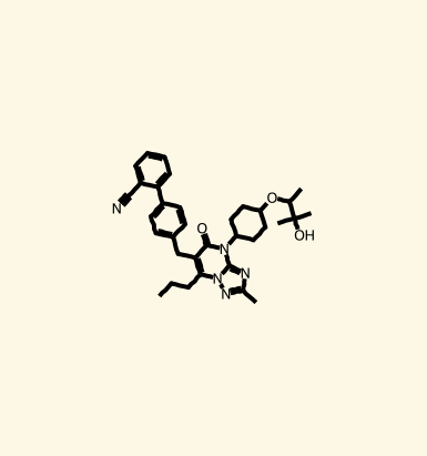 CCCc1c(Cc2ccc(-c3ccccc3C#N)cc2)c(=O)n(C2CCC(OC(C)C(C)(C)O)CC2)c2nc(C)nn12